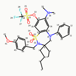 CCCCC1(CC)CN(c2ccccc2)c2cc(N(C)C)c(OS(=O)(=O)C(F)(F)F)cc2S(=O)(=O)N1Cc1ccc(OC)cc1